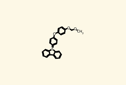 COCOc1ccc(Oc2ccc([SH]3c4ccccc4-c4ccccc43)cc2)cc1